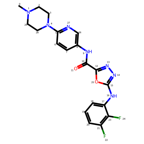 CN1CCN(c2ccc(NC(=O)c3nnc(Nc4cccc(F)c4F)o3)cn2)CC1